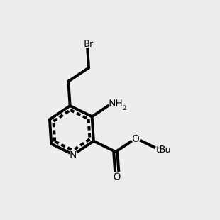 CC(C)(C)OC(=O)c1nccc(CCBr)c1N